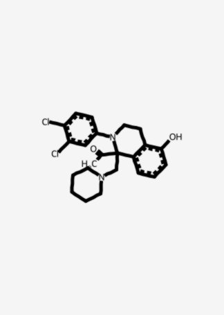 CC(=O)C1(CN2CCCCC2)c2cccc(O)c2CCN1c1ccc(Cl)c(Cl)c1